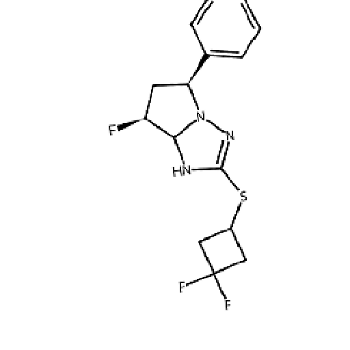 F[C@H]1C[C@@H](c2ccccc2)N2N=C(SC3CC(F)(F)C3)NC12